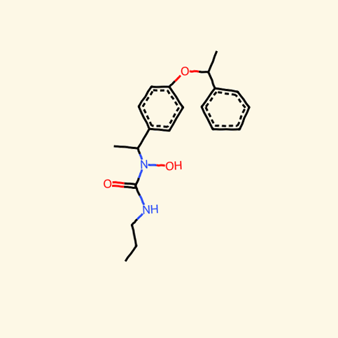 CCCNC(=O)N(O)C(C)c1ccc(OC(C)c2ccccc2)cc1